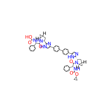 O=C(O)N[C@@H](C(=O)N1[C@@H]2C[C@@H]2C[C@H]1c1nc(-c2ccc(-c3ccc(-c4cnc([C@@H]5C[C@@H]6C[C@H]6N5C(=O)[C@H](NC(=O)OC5CC5)c5ccccc5)[nH]4)cc3)cc2)c[nH]1)c1ccccc1